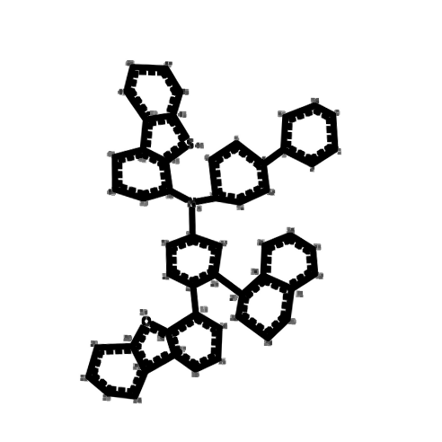 c1ccc(-c2ccc(N(c3ccc(-c4cccc5c4oc4ccccc45)c(-c4cccc5ccccc45)c3)c3cccc4c3sc3ccccc34)cc2)cc1